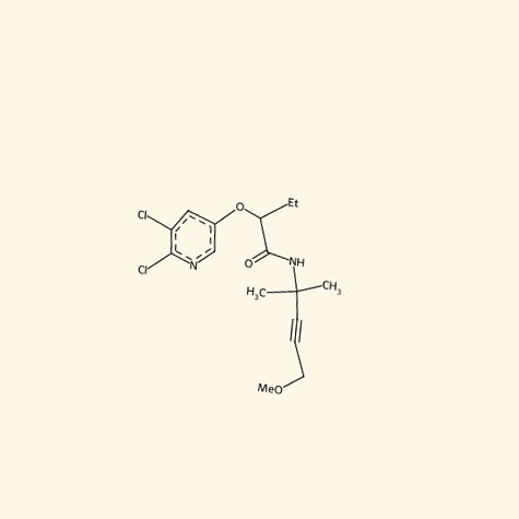 CCC(Oc1cnc(Cl)c(Cl)c1)C(=O)NC(C)(C)C#CCOC